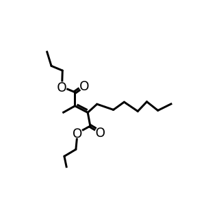 CCCCCCCC(C(=O)OCCC)=C(C)C(=O)OCCC